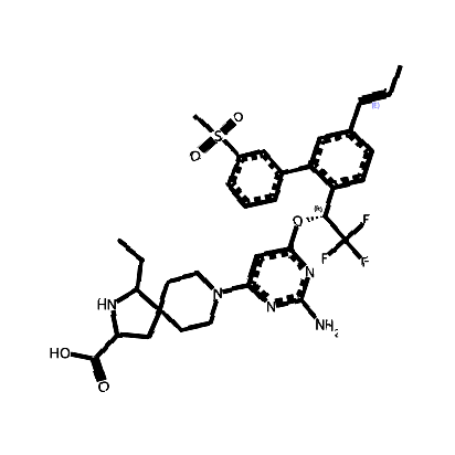 C/C=C/c1ccc([C@@H](Oc2cc(N3CCC4(CC3)CC(C(=O)O)NC4CC)nc(N)n2)C(F)(F)F)c(-c2cccc(S(C)(=O)=O)c2)c1